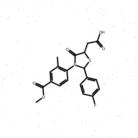 COC(=O)c1ccc(N2C(=O)C(CC(=O)O)SC2c2ccc(F)cc2)c(C)c1